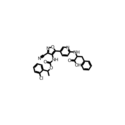 CC(OC(=O)Nc1c(C#N)noc1-c1ccc(NC(Cc2ccccc2)C(=O)O)nc1)c1ccccc1Cl